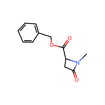 CN1C(=O)CC1C(=O)OCc1ccccc1